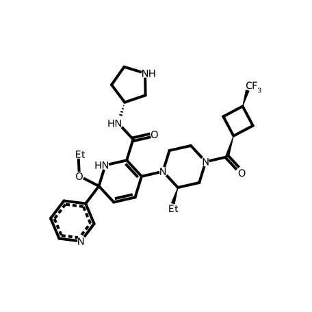 CCOC1(c2cccnc2)C=CC(N2CCN(C(=O)[C@H]3C[C@@H](C(F)(F)F)C3)C[C@H]2CC)=C(C(=O)N[C@@H]2CCNC2)N1